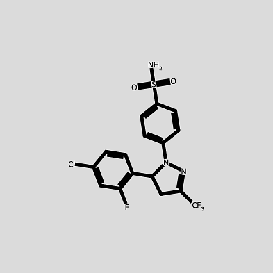 NS(=O)(=O)c1ccc(N2N=C(C(F)(F)F)CC2c2ccc(Cl)cc2F)cc1